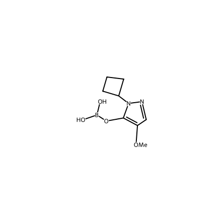 COc1cnn(C2CCC2)c1OB(O)O